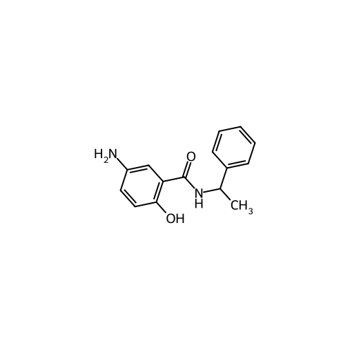 CC(NC(=O)c1cc(N)ccc1O)c1ccccc1